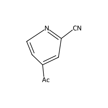 CC(=O)c1ccnc(C#N)c1